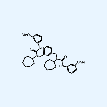 COc1cccc(NC(=O)N(Cc2cccc(CN(C(=O)Nc3cccc(OC)c3)C3CCCCCC3)c2)C2CCCCCC2)c1